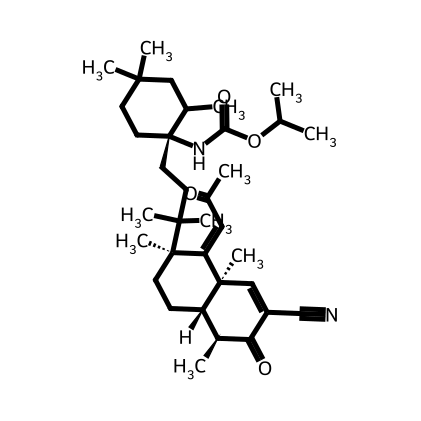 CC(=O)/C=C1/[C@@]2(C)C=C(C#N)C(=O)[C@@H](C)[C@@H]2CC[C@@]1(C)C(C)(C)CC[C@@]1(NC(=O)OC(C)C)CCC(C)(C)CC1C